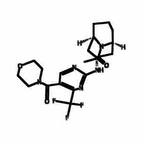 CC(=O)N1[C@@H]2CCC[C@H]1C[C@H](Nc1ncc(C(=O)N3CCOCC3)c(C(F)(F)F)n1)C2